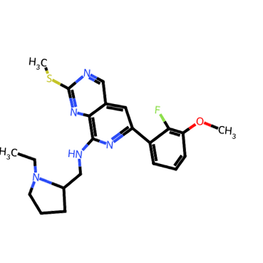 CCN1CCCC1CNc1nc(-c2cccc(OC)c2F)cc2cnc(SC)nc12